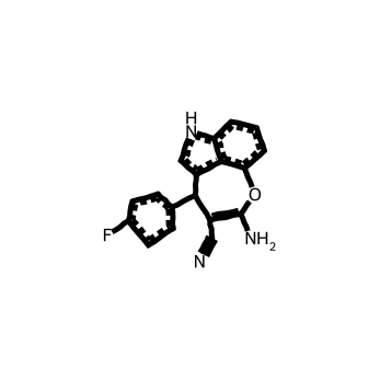 N#CC1=C(N)Oc2cccc3[nH]cc(c23)C1c1ccc(F)cc1